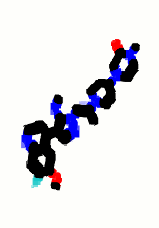 C=Nc1c(-c2ccnc3cc(F)c(OC)cc23)cnn1/C=C(\C)N1CCC(N2CCN(C)C(=O)C2)CC1